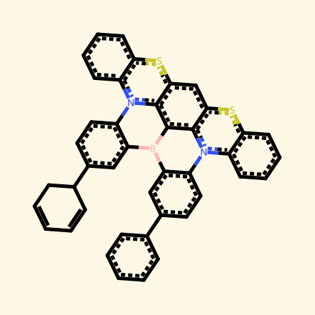 C1=CCC(c2ccc3c(c2)B2c4cc(-c5ccccc5)ccc4-n4c5ccccc5sc5cc6sc7ccccc7n-3c6c2c54)C=C1